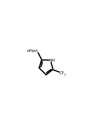 CCCCCc1ccc(C(F)(F)F)[nH]1